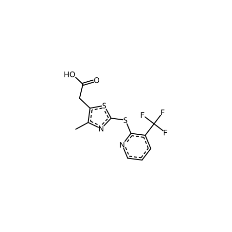 Cc1nc(Sc2ncccc2C(F)(F)F)sc1CC(=O)O